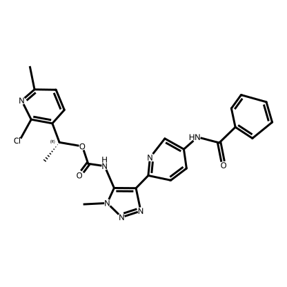 Cc1ccc([C@@H](C)OC(=O)Nc2c(-c3ccc(NC(=O)c4ccccc4)cn3)nnn2C)c(Cl)n1